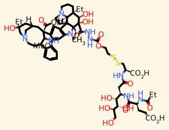 CCC(=O)N[C@@H](CCC(=O)O)C(=O)N[C@H](CC(=O)N[C@@H](CSSCCOC(=O)NNC(=O)[C@@]1(O)[C@H](O)[C@]2(CC)CCCN3CC[C@@]4(c5cc([C@@]6(C(=O)OC)C[C@@H]7CN(CCC8c9ccccc9NC86)C[C@](O)(CC)C7)c(OC)cc5N(C)[C@@H]14)[C@@H]32)C(=O)O)[C@@H](O)[C@H](O)[C@H](O)CO